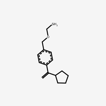 C=C(c1ccc(COC[SiH3])cc1)C1CCCC1